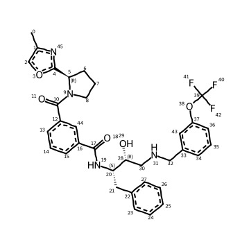 Cc1coc([C@H]2CCCN2C(=O)c2cccc(C(=O)N[C@@H](Cc3ccccc3)[C@H](O)CNCc3cccc(OC(F)(F)F)c3)c2)n1